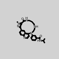 CC(C)NC(=O)c1cccc(N2CCNCCCNC(=O)c3cc(nn3C)-c3ccc4nccc2c4c3)c1